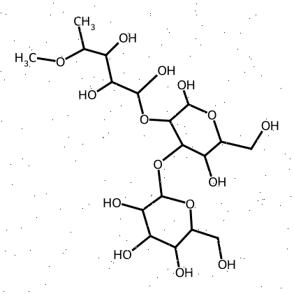 COC(C)C(O)C(O)C(O)OC1C(O)OC(CO)C(O)C1OC1OC(CO)C(O)C(O)C1O